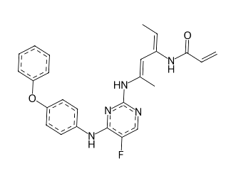 C=CC(=O)NC(/C=C(\C)Nc1ncc(F)c(Nc2ccc(Oc3ccccc3)cc2)n1)=C/C